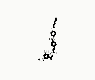 C=CCCCCOC1CCC(OC(=O)c2ccc(/C=C/C(=O)OCC(C)c3cc(N)cc(N)c3)cc2)CC1